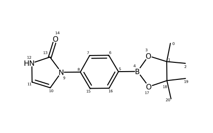 CC1(C)OB(c2ccc(-n3cc[nH]c3=O)cc2)OC1(C)C